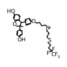 CN(CCCCOc1ccc(C2c3ccc(O)cc3OCC2(C)c2ccc(O)cc2)cc1)CCCSCCCC(F)(F)C(F)(F)F